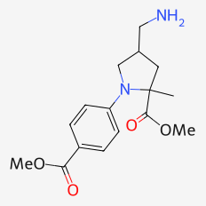 COC(=O)c1ccc(N2CC(CN)CC2(C)C(=O)OC)cc1